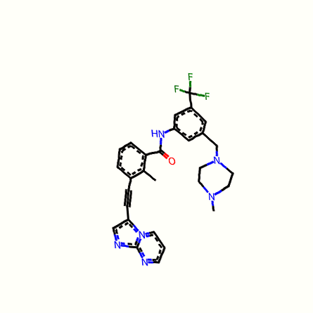 Cc1c(C#Cc2cnc3ncccn23)cccc1C(=O)Nc1cc(CN2CCN(C)CC2)cc(C(F)(F)F)c1